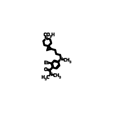 CCc1cc(N(C)CCCC2CC23CCN(C(=O)O)CC3)ccc1C(=O)N(C)C